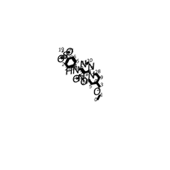 CCOCC1CCN(c2ncnc(Nc3ccc(S(C)(=O)=O)cc3)c2[N+](=O)[O-])CC1